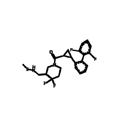 CSNCC1CN(C(=O)C2CC2c2ccccc2-c2c(F)cccc2F)CCC1(F)F